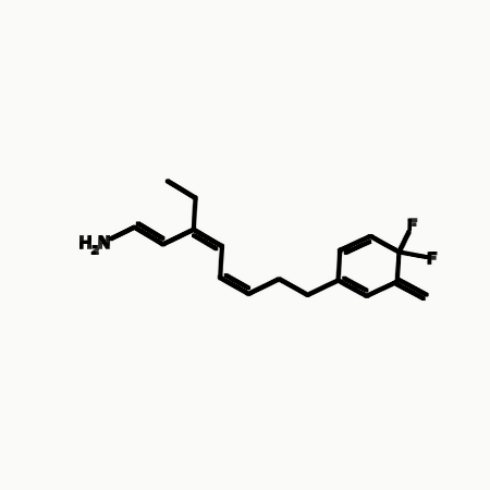 C=C1C=C(CC\C=C/C=C(\C=C\N)CC)C=CC1(F)F